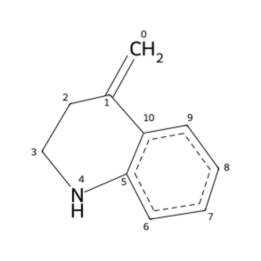 C=C1CCNc2ccccc21